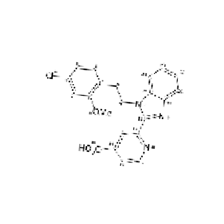 COc1cc(Cl)ccc1CCn1c(-c2cc(C(=O)O)ccn2)nc2ccccc21